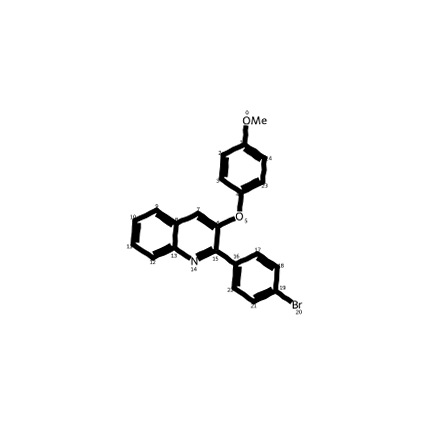 COc1ccc(Oc2cc3ccccc3nc2-c2ccc(Br)cc2)cc1